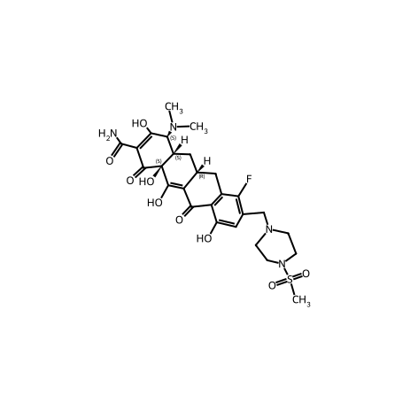 CN(C)[C@@H]1C(O)=C(C(N)=O)C(=O)[C@@]2(O)C(O)=C3C(=O)c4c(O)cc(CN5CCN(S(C)(=O)=O)CC5)c(F)c4C[C@H]3C[C@@H]12